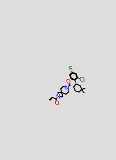 C=CC(=O)N1CC2(CCN(C(=O)[C@H]3CCC(C)(C)C[C@@H]3c3ccc(F)cc3Cl)CC2)C1